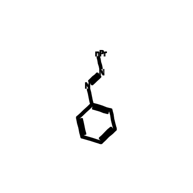 CCC/N=N/c1ccccc1